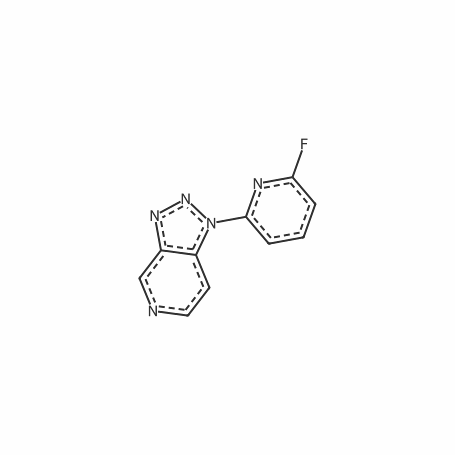 Fc1cccc(-n2nnc3cnccc32)n1